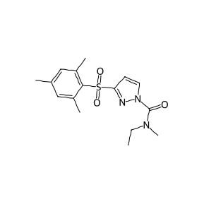 CCN(C)C(=O)n1ccc(S(=O)(=O)c2c(C)cc(C)cc2C)n1